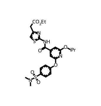 CCOC(=O)Cc1csc(NC(=O)c2cc(Oc3ccc(S(=O)(=O)N(C)C)cc3)nc(OC(C)C)c2)n1